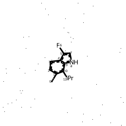 Cc1ccc2c(F)c[nH]c2c1C(C)C